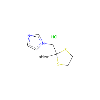 CCCCCCC1(Cn2ccnc2)SCCS1.Cl